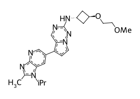 COCCO[C@H]1C[C@H](Nc2ncc3c(-c4cnc5nc(C)n(C(C)C)c5c4)ccn3n2)C1